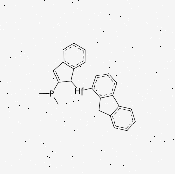 CP(C)C1=Cc2ccccc2[CH]1[Hf][c]1cccc2c1Cc1ccccc1-2